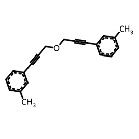 Cc1cccc(C#CCOCC#Cc2cccc(C)c2)c1